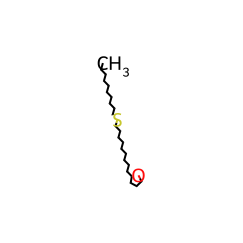 CCCCCCCCCCSCCCCCCCCCC1CCCO1